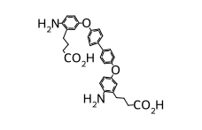 Nc1ccc(Oc2ccc(-c3ccc(Oc4ccc(N)c(CCCC(=O)O)c4)cc3)cc2)cc1CCCC(=O)O